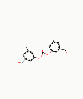 Cc1cc(CO)cc(OC(=O)Oc2cc(C)cc(CO)c2)c1